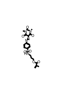 C=C(C)C(=O)OCCCNS(=O)(=O)c1ccc(N=NC2C(=O)N(C)C(=O)N(C)C2=O)cc1